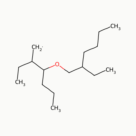 [CH2]C(CC)C(CCC)OCC(CC)CCCC